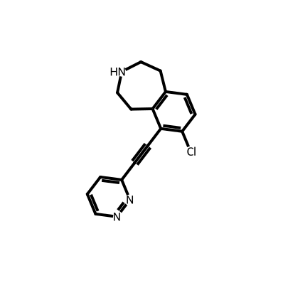 Clc1ccc2c(c1C#Cc1cccnn1)CCNCC2